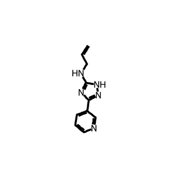 C=CCNc1nc(-c2cccnc2)n[nH]1